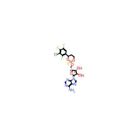 Nc1ncnc2c1ncn2[C@@H]1O[C@H](COP2(=S)OCCC(c3cc(F)c(F)c(Cl)c3F)O2)[C@H](O)C1O